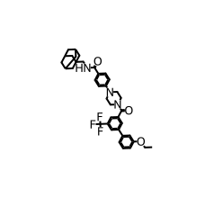 CCOc1cccc(-c2cc(C(=O)N3CCN(c4ccc(C(=O)NCC56CC7CC(CC(C7)C5)C6)cc4)CC3)cc(C(F)(F)F)c2)c1